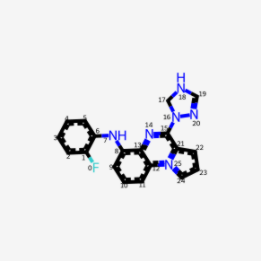 Fc1ccccc1Nc1cccc2c1nc(N1CNC=N1)c1cccn12